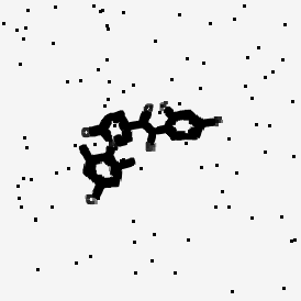 Cc1cc(Cl)cc(C)c1-n1cc(C(=O)C(Br)c2ccc(F)cc2F)ccc1=O